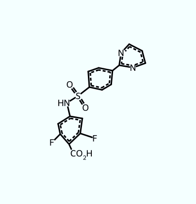 O=C(O)c1c(F)cc(NS(=O)(=O)c2ccc(-c3ncccn3)cc2)cc1F